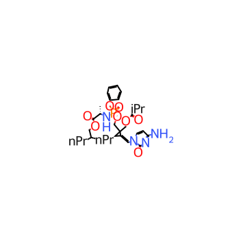 CCCC(CCC)COC(=O)[C@H](C)NP(=O)(OCC1(COC(=O)C(C)C)C/C1=C/n1ccc(N)nc1=O)Oc1ccccc1